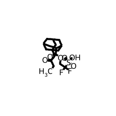 CCC(=O)CC12CC3CC(C1)C(C(=O)OCC(F)(F)S(=O)(=O)O)C(C3)C2